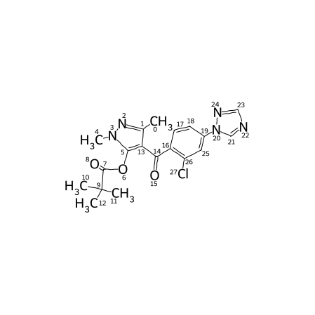 Cc1nn(C)c(OC(=O)C(C)(C)C)c1C(=O)c1ccc(-n2cncn2)cc1Cl